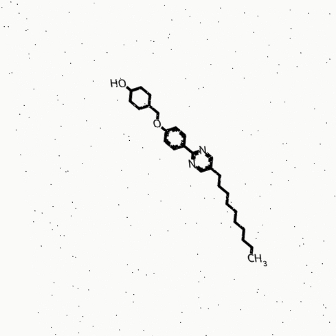 CCCCCCCCCCc1cnc(-c2ccc(OCC3CCC(O)CC3)cc2)nc1